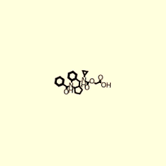 O=C(O)COC(=O)N(C1CC1)[C@H]1c2ccccc2N(C(=O)c2ccccc2)[C@@H]2CCC[C@@H]21